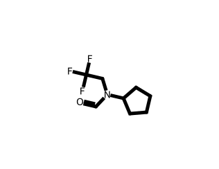 O=CN(CC(F)(F)F)C1CCCC1